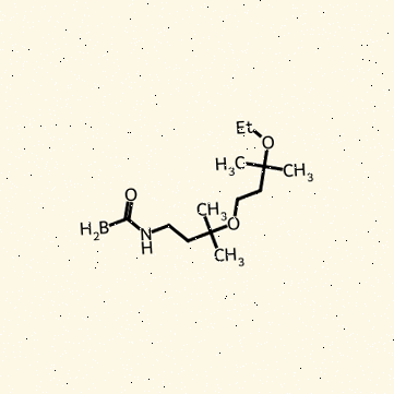 BC(=O)NCCC(C)(C)OCCC(C)(C)OCC